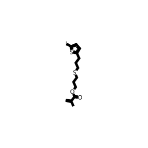 C=C(C)C(=O)OCCCSCCCc1ccc(I)s1